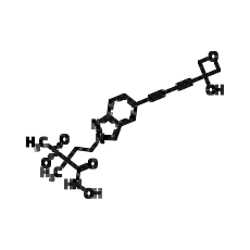 CC(CCn1cc2cc(C#CC#CC3(O)COC3)ccc2n1)(C(=O)NO)S(C)(=O)=O